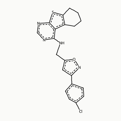 Clc1ccc(-c2cc(CNc3ncnc4sc5c(c34)CCCC5)on2)cc1